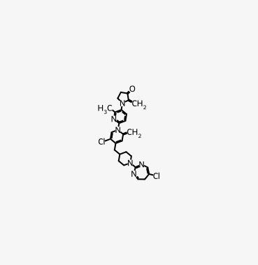 C=C1C=C(CC2CCN(C3=NC=C(Cl)CC=N3)CC2)C(Cl)=CN1c1ccc(N2CCC(=O)C2=C)c(C)n1